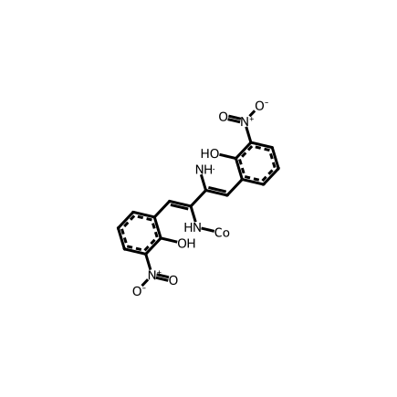 [NH]C(=Cc1cccc([N+](=O)[O-])c1O)C(=Cc1cccc([N+](=O)[O-])c1O)[NH][Co]